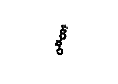 Cc1cc2cc(-c3cn(-c4ccccc4)nn3)ccc2o1